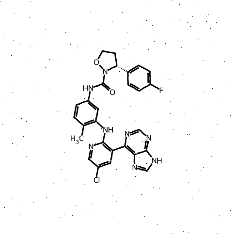 Cc1ccc(NC(=O)N2OCC[C@@H]2c2ccc(F)cc2)cc1Nc1ncc(Cl)cc1-c1ncnc2[nH]cnc12